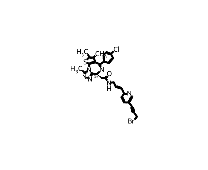 Cc1sc2c(c1C)C(c1ccc(Cl)cc1)=N[C@@H](CC(=O)NCC=Cc1ccc(C#CCBr)cn1)c1nnc(C)n1-2